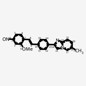 COc1cc(N=O)ccc1/C=C/c1ccc(-c2cn3cc(C)ccc3n2)cc1